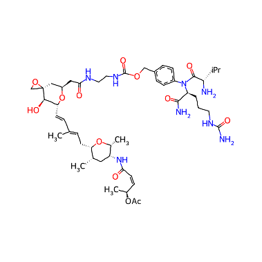 CC(=O)O[C@@H](C)/C=C\C(=O)N[C@@H]1C[C@H](C)[C@H](C/C=C(C)/C=C/[C@H]2O[C@H](CC(=O)NCCNC(=O)OCc3ccc(N(C(=O)[C@@H](N)C(C)C)[C@@H](CCCNC(N)=O)C(N)=O)cc3)C[C@@]3(CO3)[C@@H]2O)O[C@@H]1C